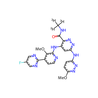 [2H]C([2H])([2H])NC(=O)c1nnc(Nc2ccc(OC)nn2)cc1Nc1nccc(-c2ncc(F)cn2)c1OC